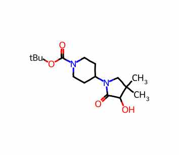 CC(C)(C)OC(=O)N1CCC(N2CC(C)(C)C(O)C2=O)CC1